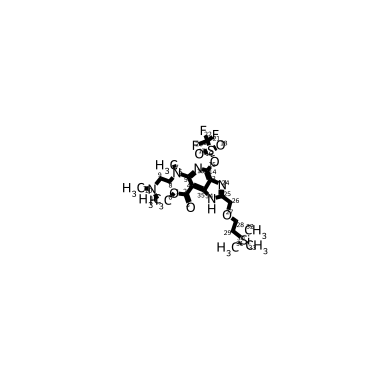 COC(=O)c1c(N(C)CCN(C)C)nc(OS(=O)(=O)C(F)(F)F)c2nc(COCC[Si](C)(C)C)[nH]c12